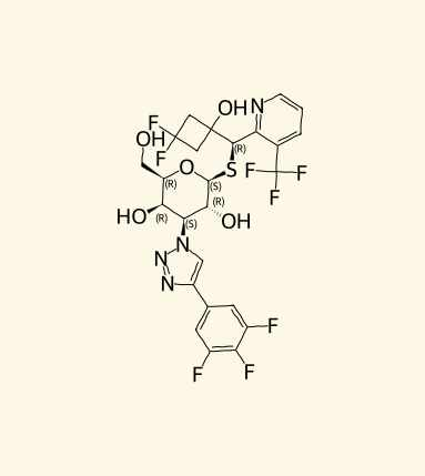 OC[C@H]1O[C@@H](S[C@H](c2ncccc2C(F)(F)F)C2(O)CC(F)(F)C2)[C@H](O)[C@@H](n2cc(-c3cc(F)c(F)c(F)c3)nn2)[C@H]1O